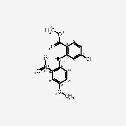 COC(=O)c1ccc(Cl)cc1Nc1ccc(OC)cc1[N+](=O)[O-]